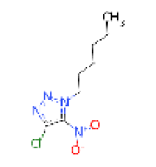 CCCCCCn1nnc(Cl)c1[N+](=O)[O-]